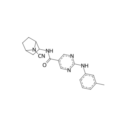 Cc1cccc(Nc2ncc(C(=O)NC3CC4CCC3N4C#N)cn2)c1